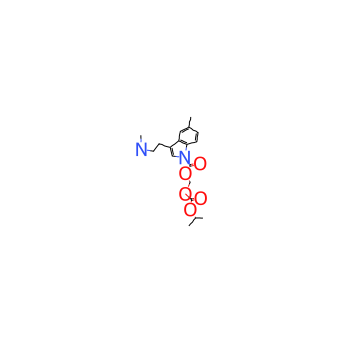 Cc1ccc2c(c1)c(CCN(C)C)cn2C(=O)OCOC(=O)OC(C)C